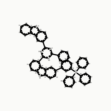 c1ccc(-c2nc(-c3ccc4sc5ccccc5c4c3)nc(-c3cccc4oc5ccc(-c6cccc([Si](c7ccccc7)(c7ccccc7)c7ccccc7)c6)cc5c34)n2)cc1